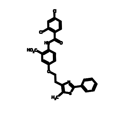 Cc1sc(-c2ccccc2)nc1CCOc1ccc(NC(=O)c2ccc(Cl)cc2Cl)c(C(=O)O)c1